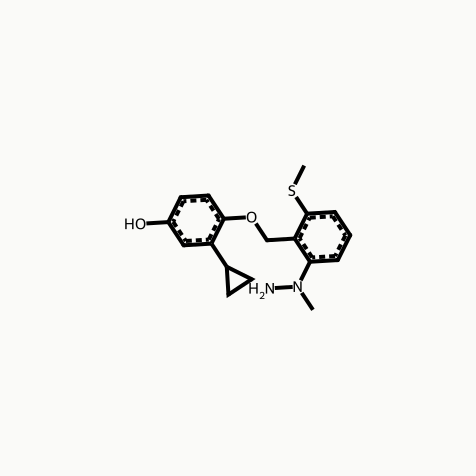 CSc1cccc(N(C)N)c1COc1ccc(O)cc1C1CC1